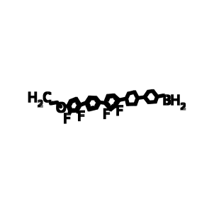 BCC1CCC(C2CCC(c3ccc(-c4ccc(-c5ccc(OCC=C)c(F)c5F)cc4)c(F)c3F)CC2)CC1